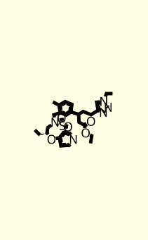 CCOC(=O)CC(CCc1cn(CC)nn1)c1ccc(C)c(CN2C[C@@H](CC)Oc3ccncc3S2(=O)=O)c1